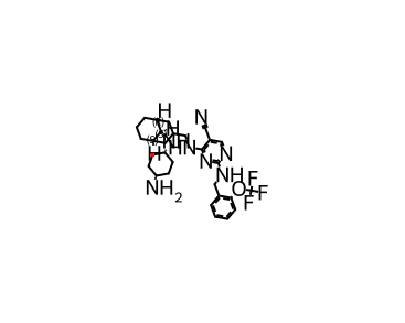 N#Cc1cnc(NCc2ccccc2OC(F)(F)F)nc1NCC1C[C@H]2CCC[C@@H](C1)[C@@H]2N[C@H]1CC[C@H](N)CC1